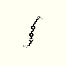 CCCCCCCC1CCC(CCc2ccc(C3SCC(CCCC)CS3)cc2)CC1